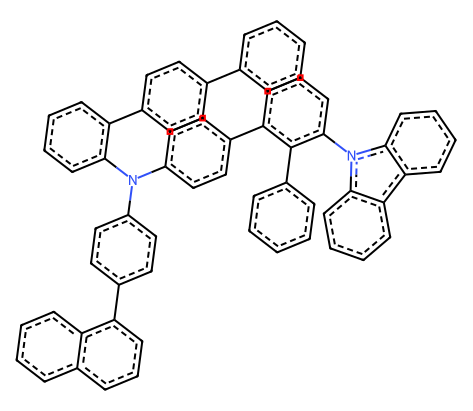 c1ccc(-c2ccc(-c3ccccc3N(c3ccc(-c4cccc(-n5c6ccccc6c6ccccc65)c4-c4ccccc4)cc3)c3ccc(-c4cccc5ccccc45)cc3)cc2)cc1